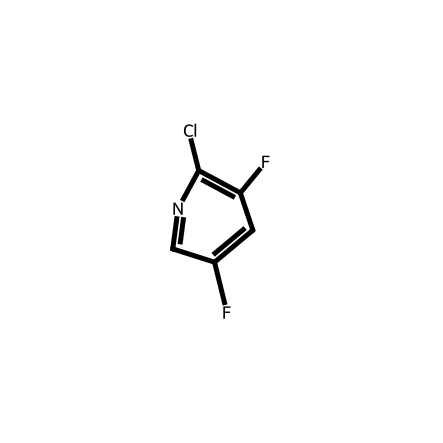 Fc1cnc(Cl)c(F)c1